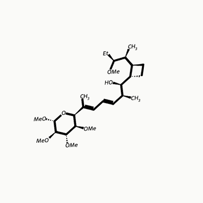 CC[C@H](OC)[C@@H](C)[C@H]1CC[C@@H]1[C@H](O)[C@@H](C)/C=C/C=C(\C)[C@@H]1O[C@@H](OC)[C@H](OC)[C@@H](OC)[C@@H]1OC